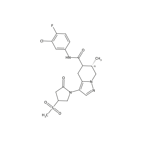 C[C@@H]1Cn2ncc(N3CC(S(C)(=O)=O)CC3=O)c2CC1C(=O)Nc1ccc(F)c(Cl)c1